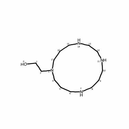 OCCN1CCCNCCCNCCNCCC1